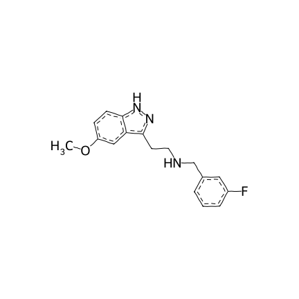 COc1ccc2[nH]nc(CCNCc3cccc(F)c3)c2c1